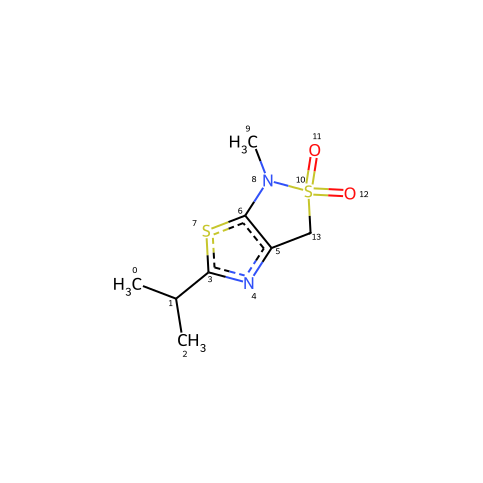 CC(C)c1nc2c(s1)N(C)S(=O)(=O)C2